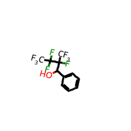 OC(c1ccccc1)C(F)(C(F)(F)F)C(F)(F)C(F)(F)F